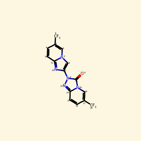 O=c1n(-c2cn3cc(C(F)(F)F)ccc3n2)nc2ccc(C(F)(F)F)cn12